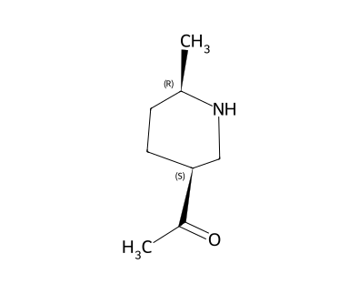 CC(=O)[C@H]1CC[C@@H](C)NC1